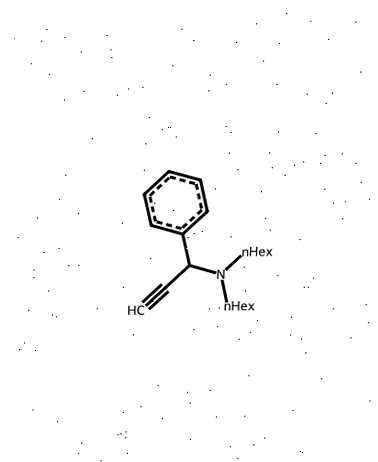 C#CC(c1ccccc1)N(CCCCCC)CCCCCC